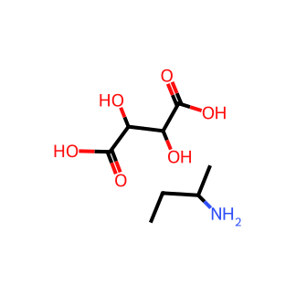 CCC(C)N.O=C(O)C(O)C(O)C(=O)O